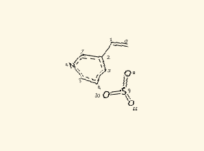 C=Cc1cccnc1.O=S(=O)=O